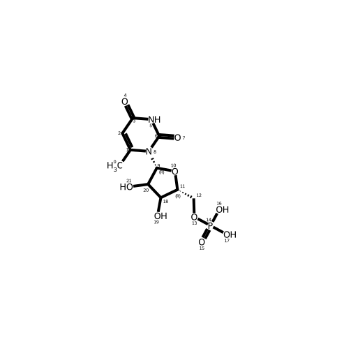 Cc1cc(=O)[nH]c(=O)n1[C@@H]1O[C@H](COP(=O)(O)O)C(O)C1O